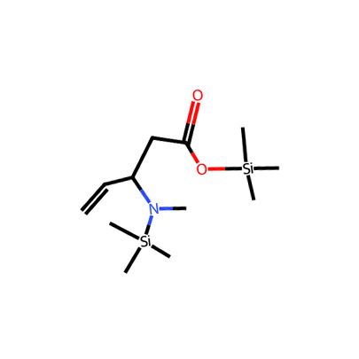 C=CC(CC(=O)O[Si](C)(C)C)N(C)[Si](C)(C)C